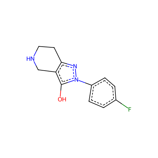 Oc1c2c(nn1-c1ccc(F)cc1)CCNC2